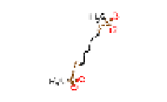 CS(=O)(=O)SCCCCCSS(C)(=O)=O